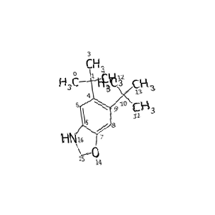 CC(C)(C)c1cc2c(cc1C(C)(C)C)OCN2